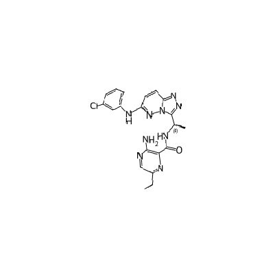 CCc1cnc(N)c(C(=O)N[C@H](C)c2nnc3ccc(Nc4cccc(Cl)c4)nn23)n1